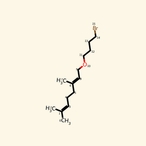 CC(C)=CCC/C(C)=C/COCCCCBr